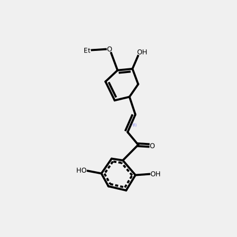 CCOC1=C(O)CC(/C=C/C(=O)c2cc(O)ccc2O)C=C1